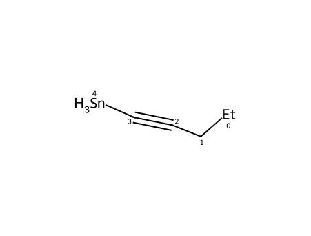 CCCC#[C][SnH3]